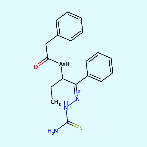 CCC([AsH]C(=O)Cc1ccccc1)/C(=N\NC(N)=S)c1ccccc1